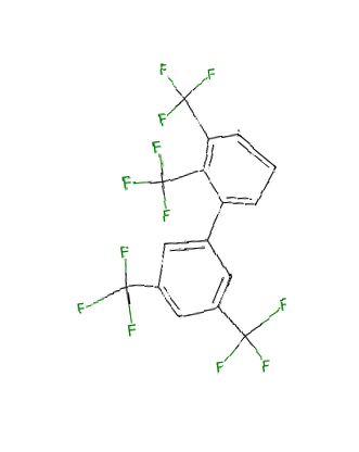 FC(F)(F)c1cc(-c2cc[c]c(C(F)(F)F)c2C(F)(F)F)cc(C(F)(F)F)c1